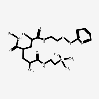 CCC(CC(CC(C)C(=O)NCC[N+](C)(C)C)C(=O)NC(C)C)C(=O)NCCSSc1ccccn1